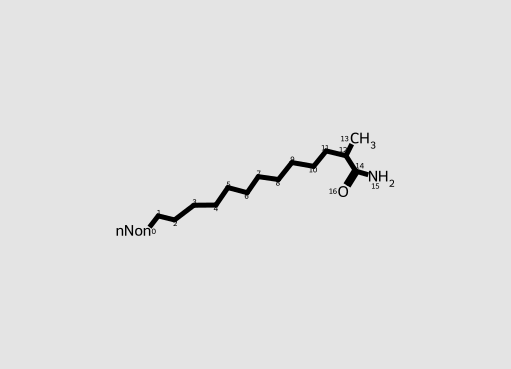 CCCCCCCCCCCCCCCCCCCCC(C)C(N)=O